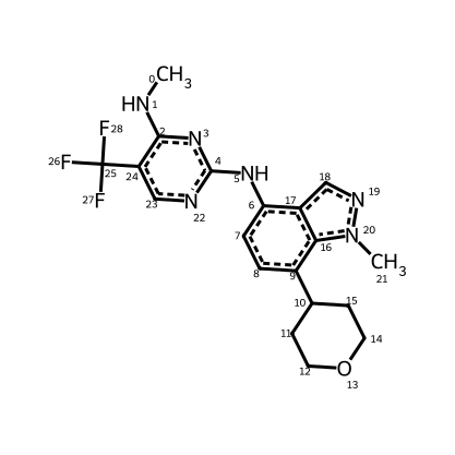 CNc1nc(Nc2ccc(C3CCOCC3)c3c2cnn3C)ncc1C(F)(F)F